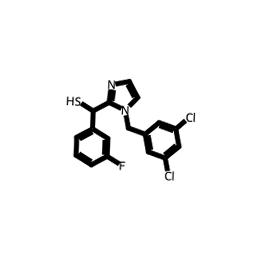 Fc1cccc(C(S)c2nccn2Cc2cc(Cl)cc(Cl)c2)c1